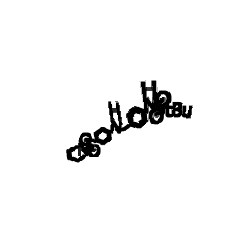 CC(C)(C)S(=O)(=O)Nc1ccc(CNc2ccc(S(=O)(=O)N3CCCCC3)cc2)cc1